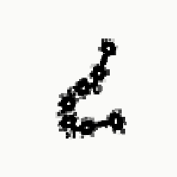 O=C(c1ccc(C#Cc2ccccc2)cc1)c1ccc(Oc2ccc(Oc3ccc(C(=O)c4ccc(C#Cc5ccccc5)cc4)cc3)cc2)cc1